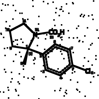 C[C@@]1(c2ccc(Cl)cc2)CCCN1C(=O)O